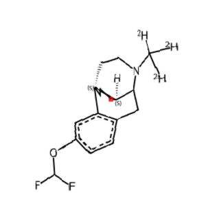 [2H]C([2H])([2H])N1CC[C@@]23CCCC[C@@H]2C1Cc1ccc(OC(F)F)cc13